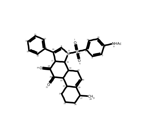 CC(=O)Nc1ccc(S(=O)(=O)N2C=C(c3ccccc3)C3C(=O)C(=O)C4C5CCCC(C)C5=CCC4C32)cc1